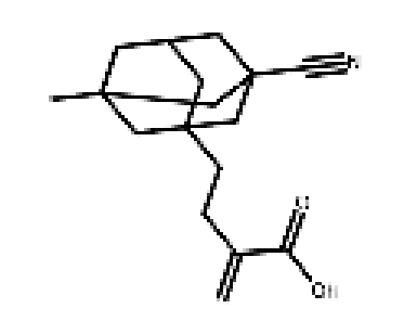 C=C(CCC12CC3CC(C)(CC(C#N)(C3)C1)C2)C(=O)O